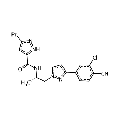 CC(C)c1cc(C(=O)N[C@@H](C)Cn2ccc(-c3ccc(C#N)c(Cl)c3)n2)[nH]n1